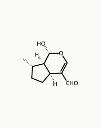 C[C@H]1CC[C@@H]2C(C=O)=CO[C@@H](O)[C@@H]21